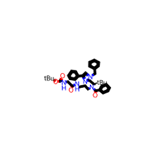 CC(C)(C)OC(=O)NCC(=O)NCCCN(C(=O)c1ccccc1)[C@@H](c1nc(-c2ccccc2)cn1Cc1ccccc1)C(C)(C)C